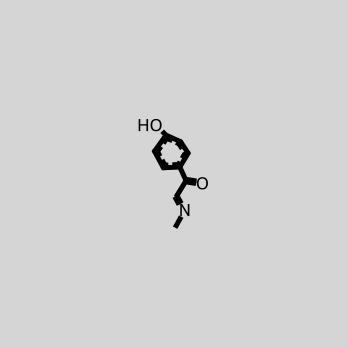 C/N=C/C(=O)c1ccc(O)cc1